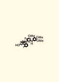 COc1cc(Nc2ncc(F)c(Nc3cccc(C)c3N(CCO)S(C)(=O)=O)n2)cc(OC)c1OC